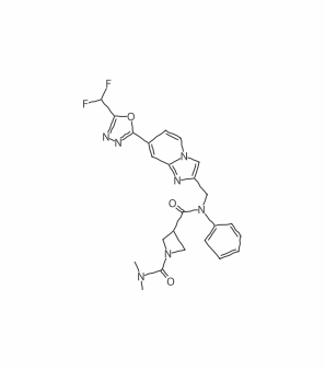 CN(C)C(=O)N1CC(C(=O)N(Cc2cn3ccc(-c4nnc(C(F)F)o4)cc3n2)c2ccccc2)C1